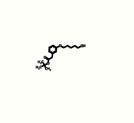 CC(C)(C)OC(=O)Cc1cccc(OCCCCCO)c1